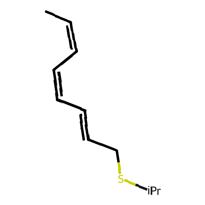 C\C=C/C=C\C=C\CSC(C)C